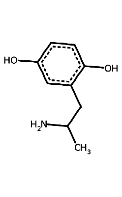 CC(N)Cc1cc(O)ccc1O